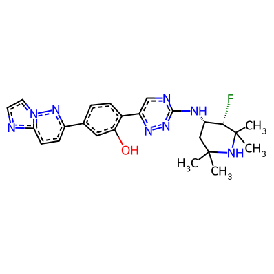 CC1(C)C[C@H](Nc2ncc(-c3ccc(-c4ccc5nccn5n4)cc3O)nn2)[C@H](F)C(C)(C)N1